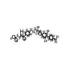 COC(=O)CCNC(=O)c1ccc(CCCC(C)(C)COc2cc(C)c(-c3ccc(C(C)C)cc3)c(C)c2)cc1